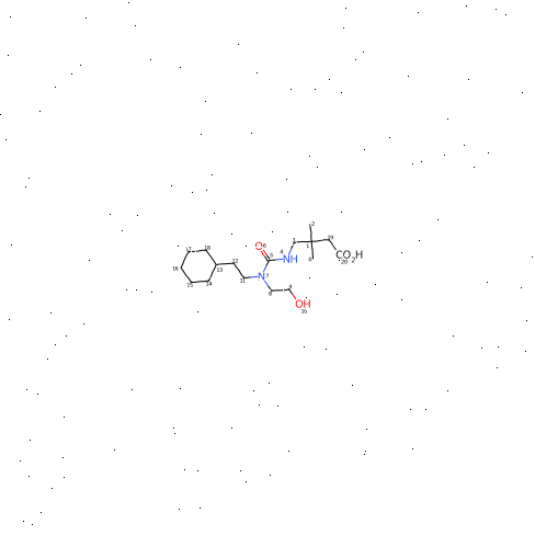 CC(C)(CNC(=O)N(CCO)CCC1CCCCC1)CC(=O)O